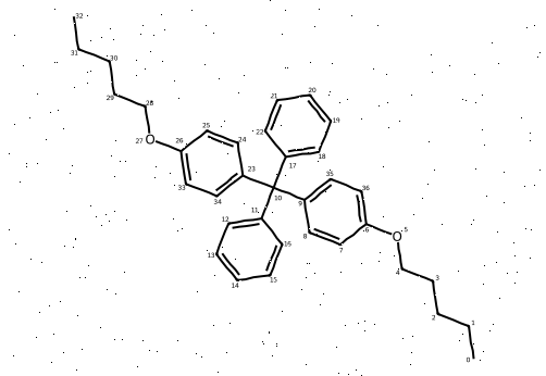 CCCCCOc1ccc(C(c2ccccc2)(c2ccccc2)c2ccc(OCCCCC)cc2)cc1